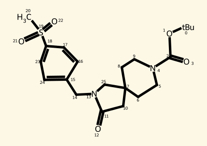 CC(C)(C)OC(=O)N1CCC2(CC1)CC(=O)N(Cc1ccc(S(C)(=O)=O)cc1)C2